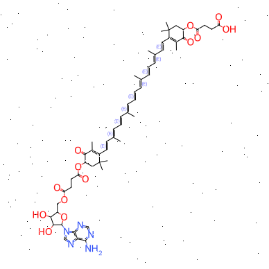 CC1=C(/C=C/C(C)=C/C=C/C(C)=C/C=C/C=C(C)/C=C/C=C(C)/C=C/C2=C(C)C(=O)C(OC(=O)CCC(=O)OCC3OC(n4cnc5c(N)ncnc54)C(O)C3O)CC2(C)C)C(C)(C)CC(OC(=O)CCC(=O)O)C1=O